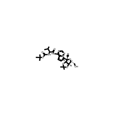 CC(C)C(NC(=O)OC(C)(C)C)C(=O)Nc1ncnn2c([C@]3(C#N)O[C@H](CO)[C@H]4OC(C)(C)O[C@H]43)ccc12